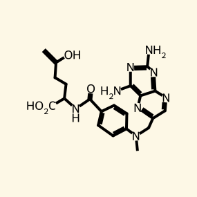 C=C(O)CCC(NC(=O)c1ccc(N(C)Cc2cnc3nc(N)nc(N)c3n2)cc1)C(=O)O